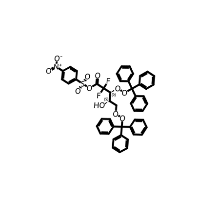 O=C(OS(=O)(=O)c1ccc([N+](=O)[O-])cc1)C(F)(F)[C@H](OOC(c1ccccc1)(c1ccccc1)c1ccccc1)[C@@H](O)COOC(c1ccccc1)(c1ccccc1)c1ccccc1